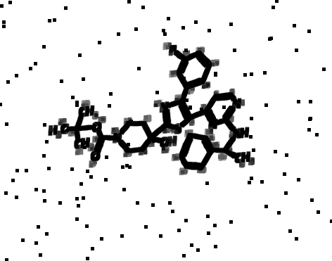 C[C@H](Nc1nccc(-c2sc(C3(O)CCN(C(=O)OC(C)(C)C)CC3)nc2-c2cccc(F)c2)n1)c1ccccc1